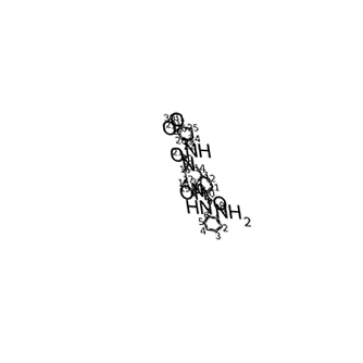 Nc1ccccc1NC(=O)c1ccc(CN(CCCO)C(=O)Nc2ccc3c(c2)OCO3)cn1